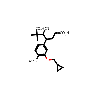 COc1ccc(C(CCC(=O)O)C(C#N)C(C)(C)C(=O)O)cc1OCC1CC1